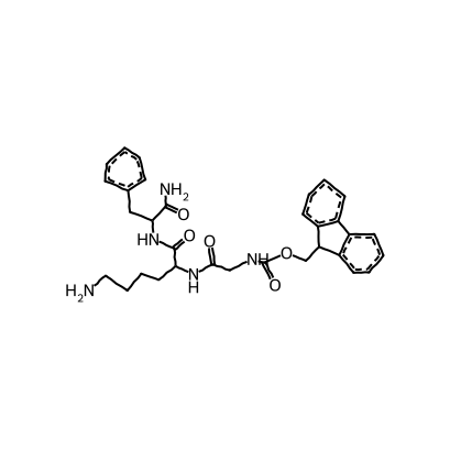 NCCCCC(NC(=O)CNC(=O)OCC1c2ccccc2-c2ccccc21)C(=O)NC(Cc1ccccc1)C(N)=O